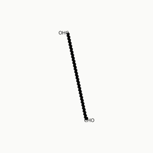 CC(C=O)CCCCCCCCCCCCCCCCCCCCCCCCCCCCCCCCCCCCCCCCCCCCCCCCCCCCCCCCC=O